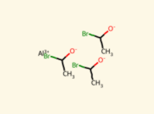 CC([O-])Br.CC([O-])Br.CC([O-])Br.[Al+3]